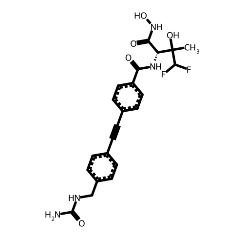 CC(O)(C(F)F)[C@H](NC(=O)c1ccc(C#Cc2ccc(CNC(N)=O)cc2)cc1)C(=O)NO